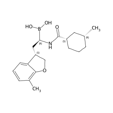 Cc1cccc2c1OC[C@H]2C[C@H](NC(=O)[C@H]1CCC[C@@H](C)C1)B(O)O